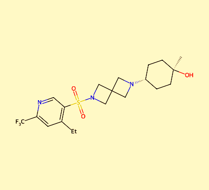 CCc1cc(C(F)(F)F)ncc1S(=O)(=O)N1CC2(C1)CN([C@H]1CC[C@](C)(O)CC1)C2